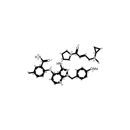 COc1ccc(Cn2nc(N[C@@H]3CCN(C(=O)/C=C/CN(C)C4CC4)C3)c3c(Oc4ccc(C)cc4C(N)=O)ccnc32)cc1